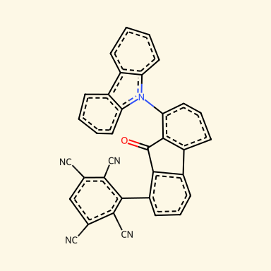 N#Cc1cc(C#N)c(C#N)c(-c2cccc3c2C(=O)c2c-3cccc2-n2c3ccccc3c3ccccc32)c1C#N